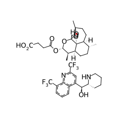 C[C@H]1[C@H](OC(=O)CCC(=O)O)O[C@@H]2OC3(C)CC[C@H]4[C@H](C)CC[C@@H]1[C@@]24OO3.O[C@@H](c1cc(C(F)(F)F)nc2c(C(F)(F)F)cccc12)[C@H]1CCCCN1